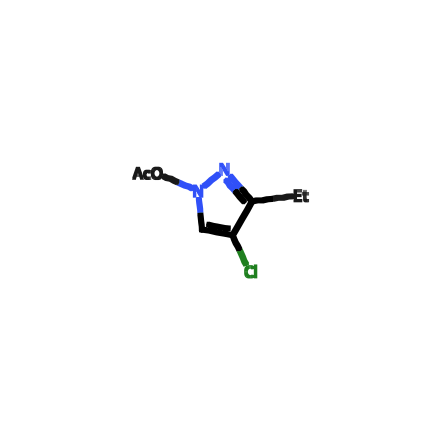 CCc1nn(OC(C)=O)cc1Cl